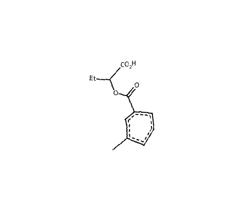 CCC(OC(=O)c1cccc(C)c1)C(=O)O